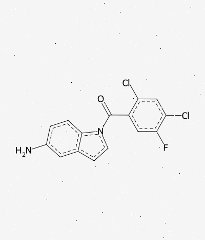 Nc1ccc2c(ccn2C(=O)c2cc(F)c(Cl)cc2Cl)c1